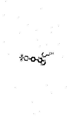 CCN(CCCO)c1nc(-c2ccc(N3CCN(S(C)(=O)=O)CC3)cc2)cc2nccnc12